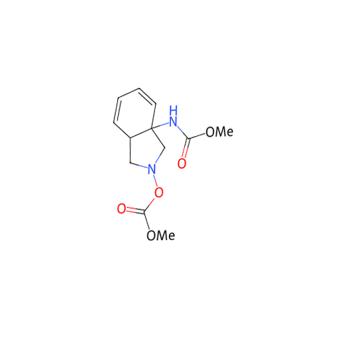 COC(=O)NC12C=CC=CC1CN(OC(=O)OC)C2